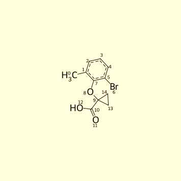 Cc1cccc(Br)c1OC1(C(=O)O)CC1